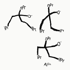 CCCC([O-])(CC(C)C)CC(C)C.CCCC([O-])(CC(C)C)CC(C)C.CCCC([O-])(CC(C)C)CC(C)C.[Al+3]